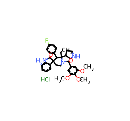 CCC1(C2CCNC2)C(c2ccc(F)cc2)C(C(N)=O)(c2ccccc2)CCN1C(=O)c1cc(OC)c(OC)c(OC)c1.Cl